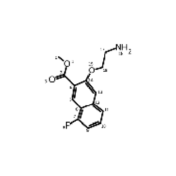 COC(=O)c1cc2c(F)cccc2cc1OCCN